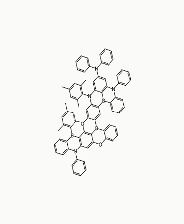 Cc1cc(C)c(B2c3ccccc3N(c3ccccc3)c3cc4c5c(c32)Oc2cc3c(cc2B5c2ccccc2O4)B2c4ccccc4N(c4ccccc4)c4cc(N(c5ccccc5)c5ccccc5)cc(c42)N3c2c(C)cc(C)cc2C)c(C)c1